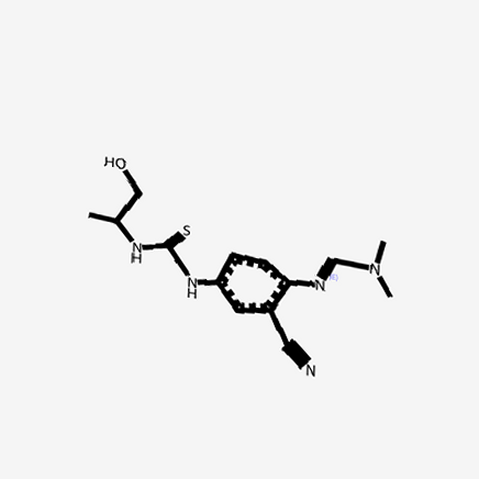 CC(CO)NC(=S)Nc1ccc(/N=C/N(C)C)c(C#N)c1